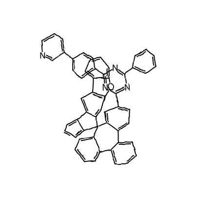 c1ccc(-c2nc(-c3ccc(-c4cccnc4)cc3)nc(-c3ccc4c(c3)C3(c5ccccc5-c5ccccc5-4)c4ccccc4-c4cc5c(cc43)oc3ccccc35)n2)cc1